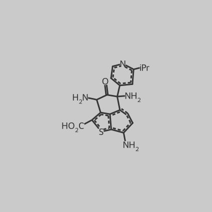 CC(C)c1cc(C2(N)C(=O)C(N)c3c(C(=O)O)sc4c(N)ccc2c34)ccn1